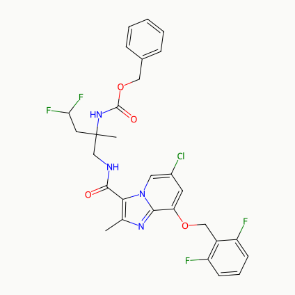 Cc1nc2c(OCc3c(F)cccc3F)cc(Cl)cn2c1C(=O)NCC(C)(CC(F)F)NC(=O)OCc1ccccc1